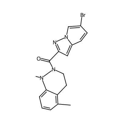 Cc1cccc2c1CCN(C(=O)c1cc3ccc(Br)cn3n1)N2C